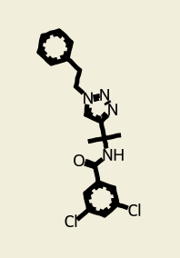 CC(C)(NC(=O)c1cc(Cl)cc(Cl)c1)c1cn(CCc2ccccc2)nn1